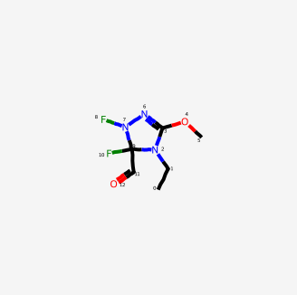 CCN1C(OC)=NN(F)C1(F)C=O